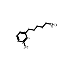 CC(C)c1cccc(CCCCCC=O)c1